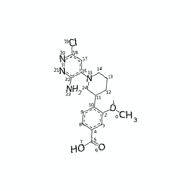 COc1cc(C(=O)O)ccc1C1CCCN(c2cc(Cl)nnc2N)C1